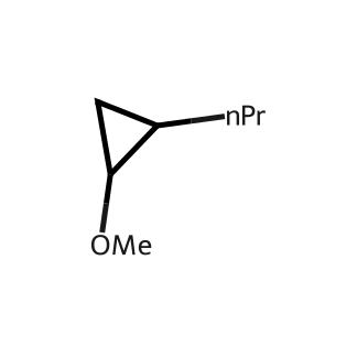 CCCC1CC1OC